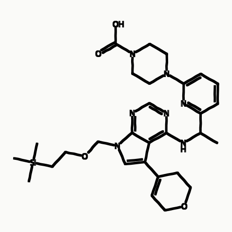 CC(Nc1ncnc2c1c(C1=CCOCC1)cn2COCC[Si](C)(C)C)c1cccc(N2CCN(C(=O)O)CC2)n1